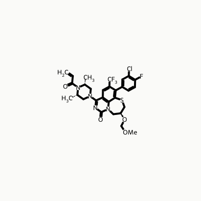 C=CC(=O)N1[C@H](C)CN(c2nc(=O)n3c4c(c(-c5ccc(F)c(Cl)c5)c(C(F)(F)F)cc24)SC[C@@H](OCOC)C3)C[C@@H]1C